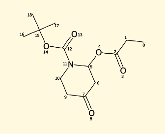 CCC(=O)OC1CC(=O)CCN1C(=O)OC(C)(C)C